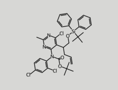 C=CCC(CO[Si](c1ccccc1)(c1ccccc1)C(C)(C)C)c1c(Cl)nc(C)nc1N(C(=O)OC(C)(C)C)c1ccc(Cl)cc1Cl